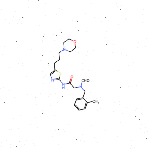 Cc1ccccc1CN(C=O)CC(=O)Nc1ncc(CCCN2CCOCC2)s1